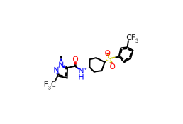 Cn1nc(C(F)(F)F)cc1C(=O)N[C@H]1CC[C@H](S(=O)(=O)c2cccc(C(F)(F)F)c2)CC1